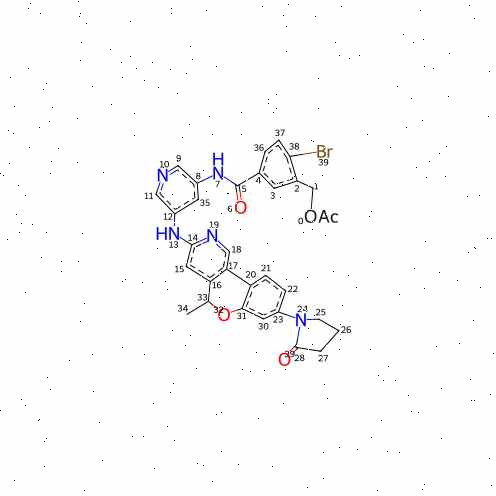 CC(=O)OCc1cc(C(=O)Nc2cncc(Nc3cc4c(cn3)-c3ccc(N5CCCC5=O)cc3OC4C)c2)ccc1Br